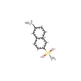 CS(=O)(=O)c1ccc2cc(C(=O)O)ccc2c1